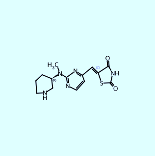 CN(c1nccc(/C=C2\SC(=O)NC2=O)n1)[C@@H]1CCCNC1